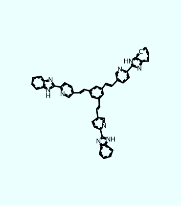 C(=C\c1cc(/C=C/c2ccc(-c3nc4ccccc4[nH]3)nc2)cc(/C=C/c2ccc(-c3nc4ccccc4[nH]3)nc2)c1)/c1ccc(-c2nc3ccccc3[nH]2)nc1